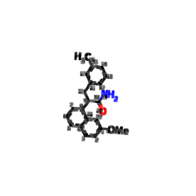 COc1ccc2cccc(C(Cc3cccc(C)c3)C(N)=O)c2c1